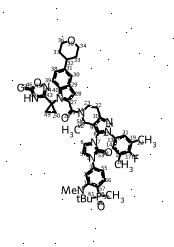 CNc1cc(-n2ccn(-c3c4c(nn3-c3cc(C)c(F)c(C)c3)CCN(C(=O)c3cc5cc(C6CCOCC6)ccc5n3C3(c5noc(=O)[nH]5)CC3)[C@H]4C)c2=O)ccc1P(C)(=O)C(C)(C)C